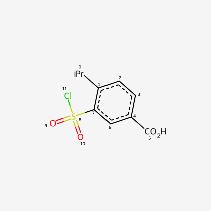 CC(C)c1ccc(C(=O)O)cc1S(=O)(=O)Cl